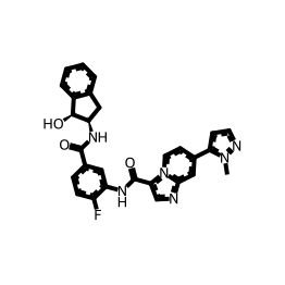 Cn1nccc1-c1ccn2c(C(=O)Nc3cc(C(=O)N[C@@H]4Cc5ccccc5[C@@H]4O)ccc3F)cnc2c1